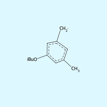 [CH2]c1cc(C)cc(OCC(C)C)c1